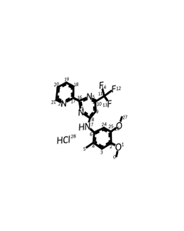 COc1cc(C)c(Nc2cc(C(F)(F)F)nc(-c3ccccn3)n2)cc1OC.Cl